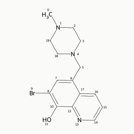 CN1CCN(Cc2cc(Br)c(O)c3ncccc23)CC1